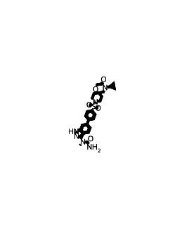 CN(C(N)=O)c1n[nH]c2cc(-c3ccc(S(=O)(=O)N4CCC5(CC4)CN(C4CC4)C(=O)CO5)cc3)ccc12